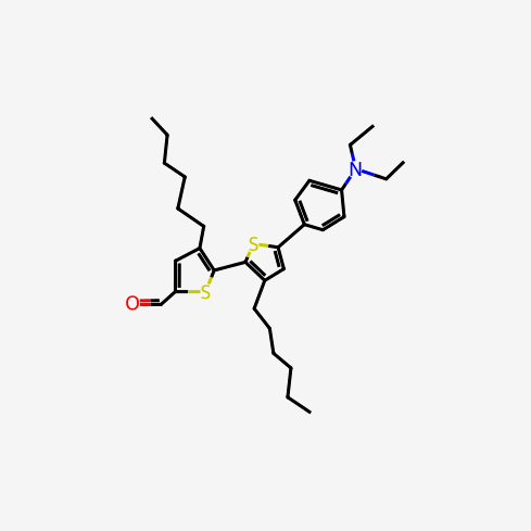 CCCCCCc1cc(C=O)sc1-c1sc(-c2ccc(N(CC)CC)cc2)cc1CCCCCC